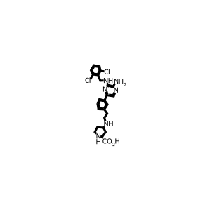 Nc1ncc(-c2cccc(CCNC3CCN[C@@H](C(=O)O)C3)c2)nc1NCc1c(Cl)cccc1Cl